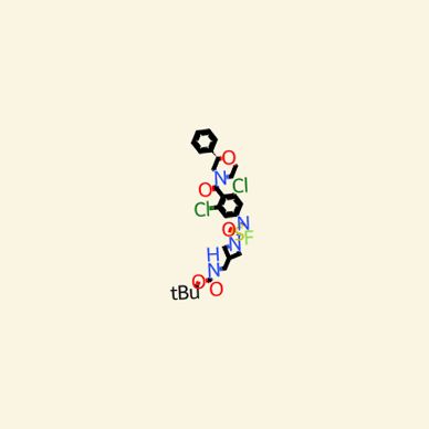 CC(C)(C)OC(=O)NCC1CN(S(=O)(F)=Nc2cc(Cl)c(C(=O)N3CCO[C@@H](c4ccccc4)C3)c(Cl)c2)C1